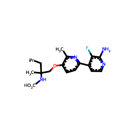 Cc1nc(-c2ccnc(N)c2F)ccc1OCC(C)(CC(C)C)NC(=O)O